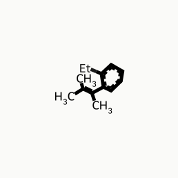 CCc1ccccc1C(C)=C(C)C